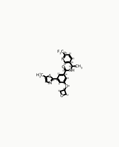 Cc1cnc(-c2cc(OC3COC3)cc(C(=O)NC(C)c3ccc(C(F)(F)F)nc3)c2)s1